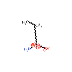 CCCCCCC(C)CCCCCCCCCCCC[C@@H](OP(=O)(O)OCCN)[C@H](CO)OCCCCC(=O)O